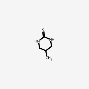 CC1CNC(=S)NC1